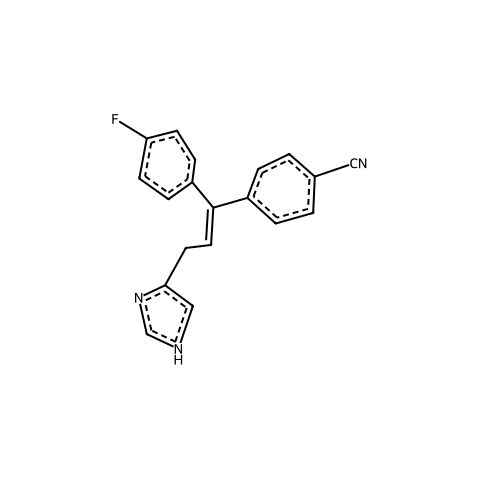 N#Cc1ccc(/C(=C/Cc2c[nH]cn2)c2ccc(F)cc2)cc1